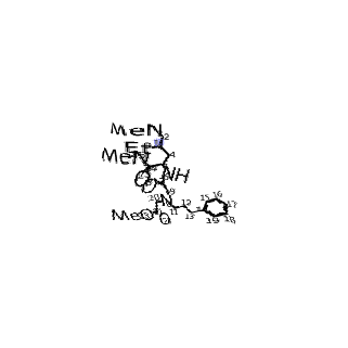 CC/C(=C\NC)CC(NC(=O)CN(CCCc1ccccc1)CC(=O)OC)C(=O)NC